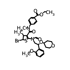 CCOC(=O)c1ccc(N(C)C(=O)C2=C(N(C=O)CC(OC3CCOCC3)c3ccccc3OC)SC(Br)C2C)cc1